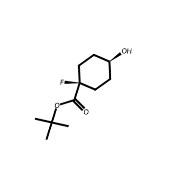 CC(C)(C)OC(=O)[C@]1(F)CC[C@@H](O)CC1